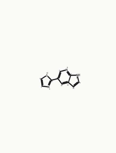 [c]1cnc(-c2cnc3[nH]ccc3c2)s1